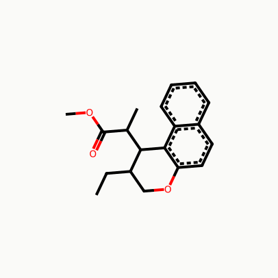 CCC1COc2ccc3ccccc3c2C1C(C)C(=O)OC